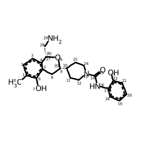 Cc1ccc2c(c1O)C[C@@H](C1CCN(C(=O)Nc3ccccc3O)CC1)O[C@H]2CN